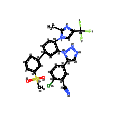 Cc1nc(C(F)(F)F)cn1-c1ccc(-c2cccc(S(C)(=O)=O)c2)cc1-n1nncc1-c1ccc(Cl)c(C#N)c1